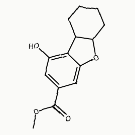 COC(=O)c1cc(O)c2c(c1)OC1CCCCC21